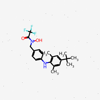 Cc1cc(C(C)(C)C)cc(C)c1Nc1ccc(CN(O)C(=O)C(F)(F)F)cc1